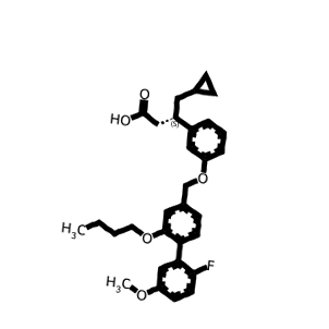 CCCCOc1cc(COc2cccc([C@H](CC(=O)O)CC3CC3)c2)ccc1-c1cc(OC)ccc1F